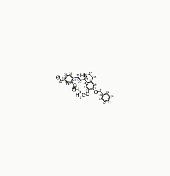 COc1cc2c(cc1OCc1ccccc1)CCNC2/C=C/c1ccc(C=O)nc1OC